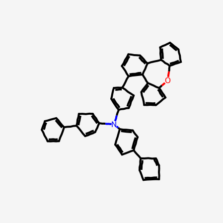 c1ccc(-c2ccc(N(c3ccc(-c4ccccc4)cc3)c3ccc(-c4cccc5c4-c4ccccc4Oc4ccccc4-5)cc3)cc2)cc1